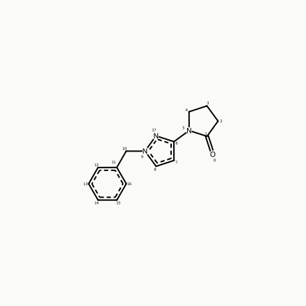 O=C1CCCN1c1ccn(Cc2ccccc2)n1